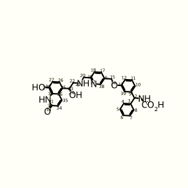 O=C(O)NC(c1ccccc1)c1cccc(OCc2ccc(CNCC(O)c3ccc(O)c4[nH]c(=O)ccc34)nc2)c1